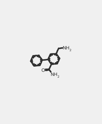 NCc1ccc(C(N)=O)c(-c2ccccc2)c1